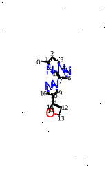 Cc1ccn2ncc(-n3cc(C4=CCOC4)cn3)c2n1